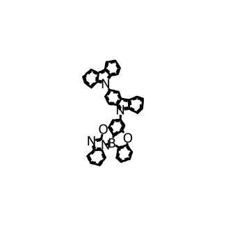 c1ccc2c(c1)Oc1cc(-n3c4ccccc4c4cc(-n5c6ccccc6c6ccccc65)ccc43)cc3c1B2n1c(nc2ccccc21)O3